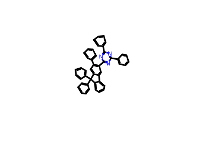 c1ccc(-c2nc(-c3ccccc3)nc(-c3cc4c(cc3-c3ccccc3)C(c3ccccc3)(c3ccccc3)c3ccccc3-4)n2)cc1